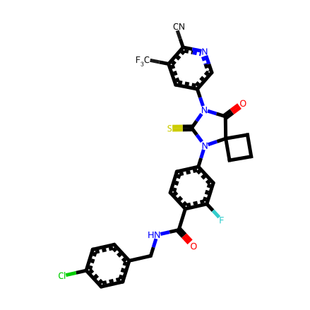 N#Cc1ncc(N2C(=O)C3(CCC3)N(c3ccc(C(=O)NCc4ccc(Cl)cc4)c(F)c3)C2=S)cc1C(F)(F)F